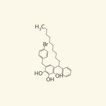 CCCCCCCCCCC(c1ccccc1)c1cc(Cc2ccc(Br)cc2)c(O)c(O)c1O